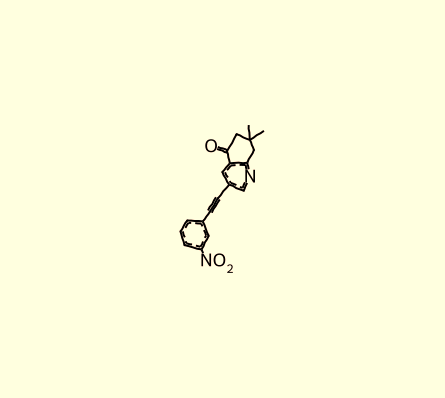 CC1(C)CC(=O)c2cc(C#Cc3cccc([N+](=O)[O-])c3)cnc2C1